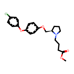 COC(=O)CCCN1CCC[C@@H]1COc1ccc(Oc2ccc(Cl)cc2)cc1